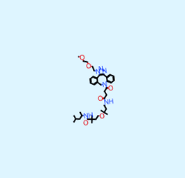 COCCOCCn1nnc2c1-c1ccccc1CN(C(=O)CCC(=O)NCCC(C)(C)OCCC(C)(C)C(=O)NC(C)CC(C)C)c1ccccc1-2